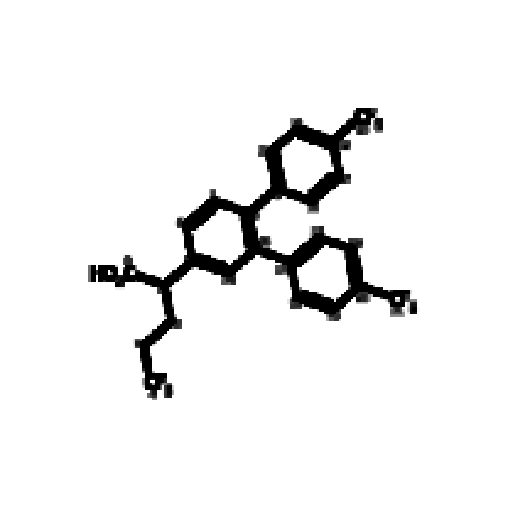 O=C(O)C(CCC(F)(F)F)c1ccc(-c2ccc(C(F)(F)F)cc2)c(-c2ccc(C(F)(F)F)cc2)c1